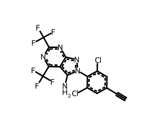 C#Cc1cc(Cl)c(-n2nc3nc(C(F)(F)F)nc(C(F)(F)F)c3c2N)c(Cl)c1